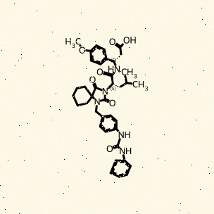 COc1ccc([C@H](CC(=O)O)NC(=O)[C@H](CC(C)C)N2C(=O)N(Cc3ccc(NC(=O)Nc4ccccc4)cc3)C3(CCCCC3)C2=O)cc1